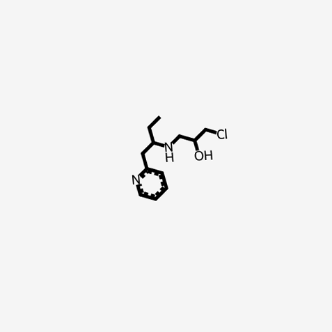 CCC(Cc1ccccn1)NCC(O)CCl